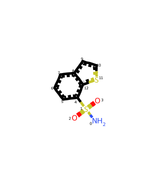 NS(=O)(=O)c1cccc2ccsc12